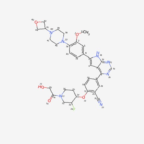 COc1cc(-c2cc3c(-c4ccc(OC5CCN(C(=O)CO)CC5F)c(C#N)c4)ncnc3[nH]2)ccc1N1CCN(C2COC2)CC1